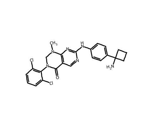 CN1CN(c2c(Cl)cccc2Cl)C(=O)c2cnc(Nc3ccc(C4(N)CCC4)cc3)nc21